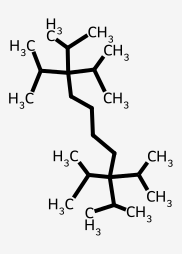 CC(C)C(CCCCC(C(C)C)(C(C)C)C(C)C)(C(C)C)C(C)C